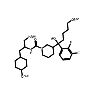 CNCC(CC1CCC(OC)CC1)NC(=O)N1CCCC(C(O)(CCCCOC)c2cccc(Cl)c2F)C1